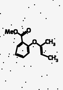 CC=C(C)Oc1cc[c]cc1C(=O)OC